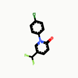 O=c1ccc(C(F)F)cn1-c1ccc(Cl)cc1